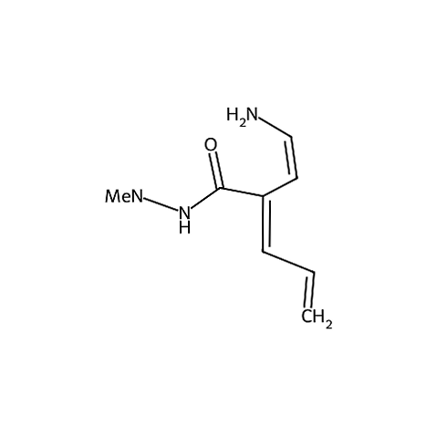 C=C/C=C(\C=C/N)C(=O)NNC